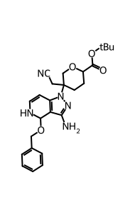 CC(C)(C)OC(=O)C1CCC(CC#N)(n2nc(N)c3c2C=CNC3OCc2ccccc2)CO1